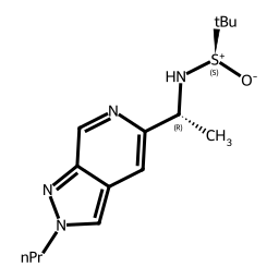 CCCn1cc2cc([C@@H](C)N[S@+]([O-])C(C)(C)C)ncc2n1